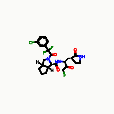 O=C1NCC[C@@H]1C[C@H](NC(=O)[C@H]1[C@@H]2CCC[C@@H]2CN1C(=O)C(F)(F)c1cccc(Cl)c1)C(=O)CF